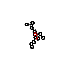 c1ccc(-c2ccccc2-c2c(-c3ccccc3)cccc2N(c2ccc(-c3ccc4c(ccc5ccccc54)c3)cc2)c2ccc(-c3ccc4c(c3)c3ccccc3n4-c3ccccc3)cc2)cc1